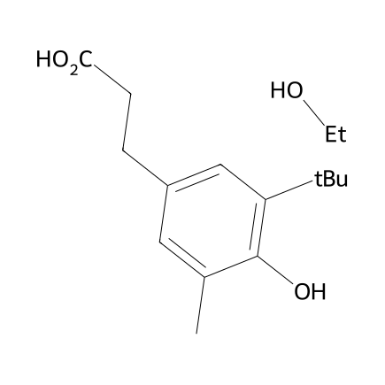 CCO.Cc1cc(CCC(=O)O)cc(C(C)(C)C)c1O